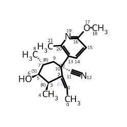 C/C=C1\[C@@H](C)[C@@H](O)[C@H](C)C[C@@]1(C#N)c1ccc(OC)nc1C